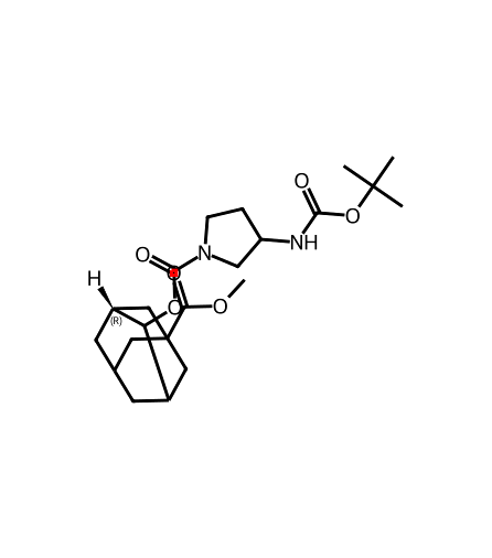 COC(=O)C12CC3CC(C1)C(OC(=O)N1CCC(NC(=O)OC(C)(C)C)C1)[C@H](C3)C2